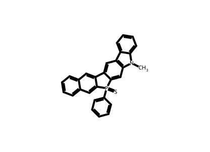 Cn1c2ccccc2c2cc3c(cc21)P(=S)(c1ccccc1)c1cc2ccccc2cc1-3